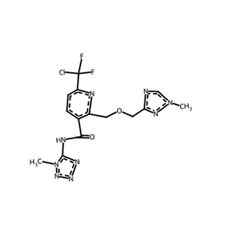 Cn1cnc(COCc2nc(C(F)(F)Cl)ccc2C(=O)Nc2nnnn2C)n1